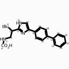 CC(C)(C)C(CNC(=O)O)c1nc(-c2ccc(-c3ccccc3)cc2)c[nH]1